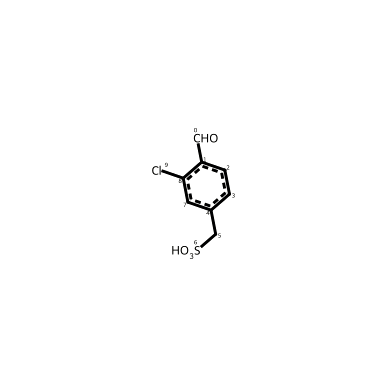 O=Cc1ccc(CS(=O)(=O)O)cc1Cl